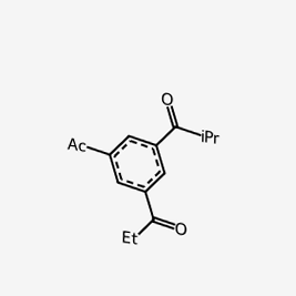 CCC(=O)c1cc(C(C)=O)cc(C(=O)C(C)C)c1